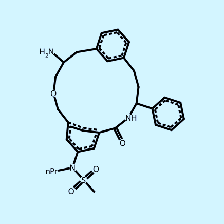 CCCN(c1cc2cc(c1)C(=O)NC(c1ccccc1)CCc1cccc(c1)CC(N)COC2)S(C)(=O)=O